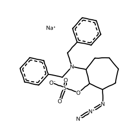 [N-]=[N+]=NC1CCCCC(N(Cc2ccccc2)Cc2ccccc2)C1OS(=O)(=O)[O-].[Na+]